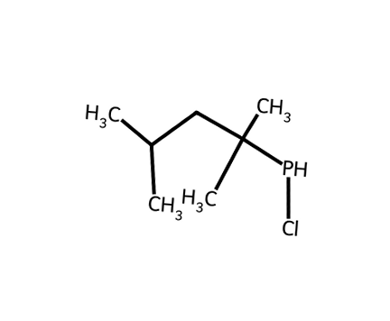 CC(C)CC(C)(C)PCl